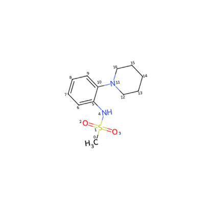 CS(=O)(=O)Nc1ccccc1N1CCCCC1